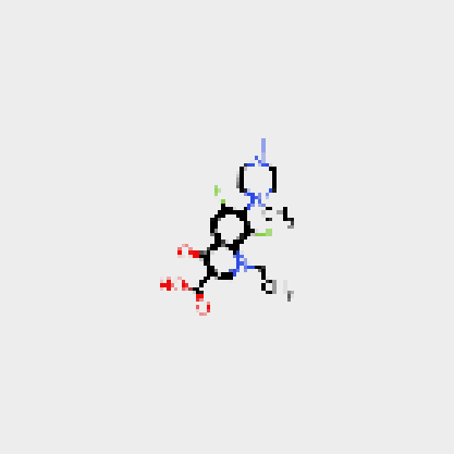 CCn1cc(C(=O)O)c(=O)c2cc(F)c([N+]3(C)CCNCC3)c(F)c21